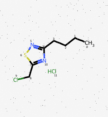 CCCCc1nsc(CCl)n1.Cl